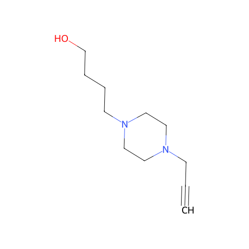 C#CCN1CCN(CCCCO)CC1